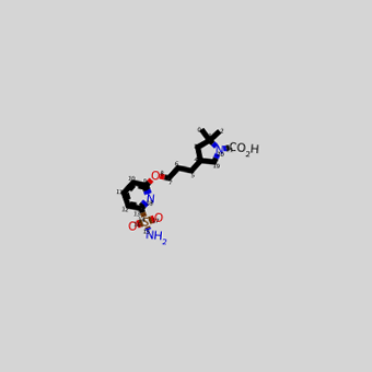 CC1(C)CC(CCCOc2cccc(S(N)(=O)=O)n2)CN1C(=O)O